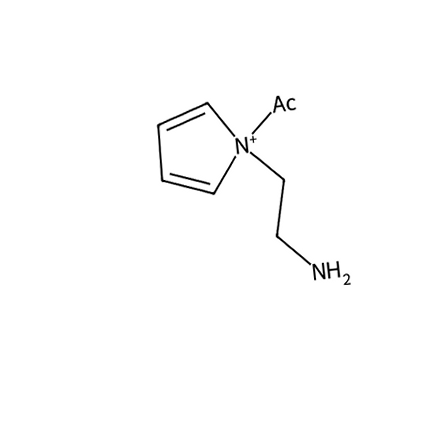 CC(=O)[N+]1(CCN)C=CC=C1